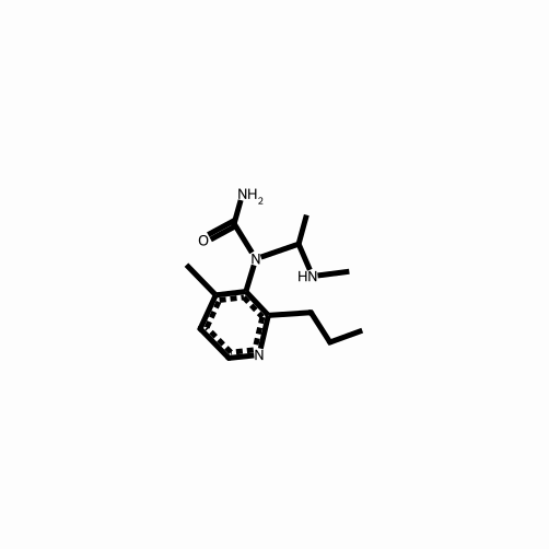 CCCc1nccc(C)c1N(C(N)=O)C(C)NC